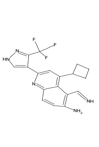 N=Cc1c(N)ccc2nc(-c3c[nH]nc3C(F)(F)F)cc(C3CCC3)c12